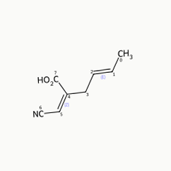 C/C=C/C/C(=C/C#N)C(=O)O